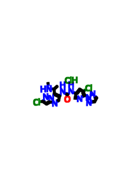 CNC(C)c1c(NC(=O)Nc2cnc(-n3nccn3)c(Cl)c2)cnc2cc(Cl)nn12.Cl